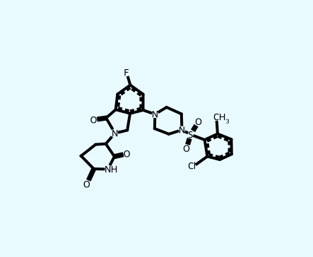 Cc1cccc(Cl)c1S(=O)(=O)N1CCN(c2cc(F)cc3c2CN(C2CCC(=O)NC2=O)C3=O)CC1